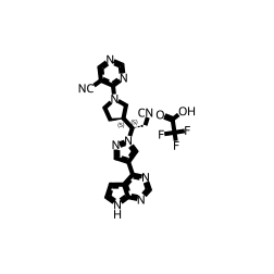 N#CC[C@@H]([C@H]1CCN(c2ncncc2C#N)C1)n1cc(-c2ncnc3[nH]ccc23)cn1.O=C(O)C(F)(F)F